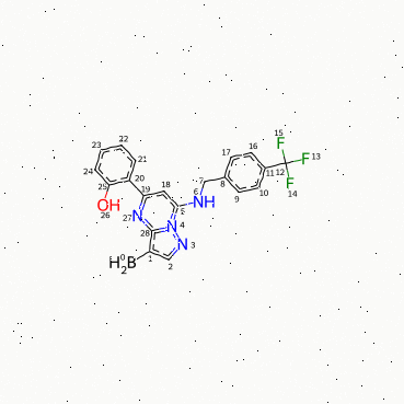 Bc1cnn2c(NCc3ccc(C(F)(F)F)cc3)cc(-c3ccccc3O)nc12